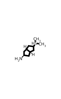 C[SH](C)C1C[C@@H]2C[C@H](N)C[C@@H]2C1